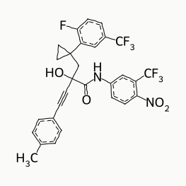 Cc1ccc(C#CC(O)(CC2(c3cc(C(F)(F)F)ccc3F)CC2)C(=O)Nc2ccc([N+](=O)[O-])c(C(F)(F)F)c2)cc1